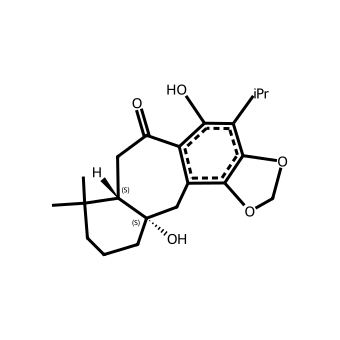 CC(C)c1c(O)c2c(c3c1OCO3)C[C@@]1(O)CCCC(C)(C)[C@@H]1CC2=O